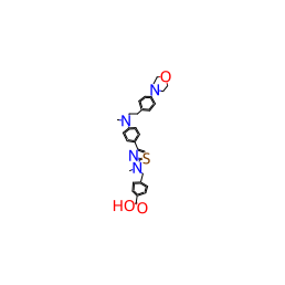 CN(CCc1ccc(N2CCOCC2)cc1)c1ccc(-c2csc(N(C)Cc3ccc(C(=O)O)cc3)n2)cc1